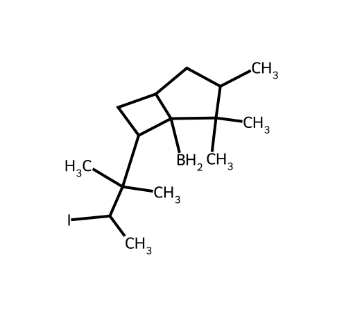 BC12C(CC(C)C1(C)C)CC2C(C)(C)C(C)I